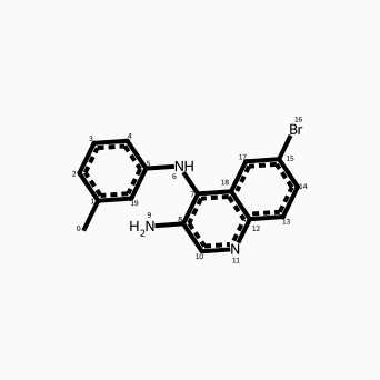 Cc1cccc(Nc2c(N)cnc3ccc(Br)cc23)c1